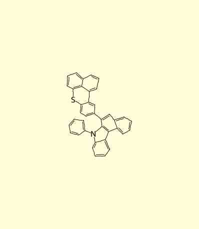 c1ccc(-n2c3ccccc3c3c4ccccc4cc(-c4ccc5c(c4)-c4cccc6cccc(c46)S5)c32)cc1